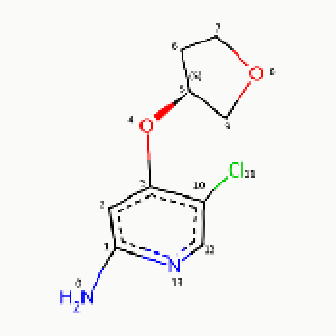 Nc1cc(O[C@H]2CCOC2)c(Cl)cn1